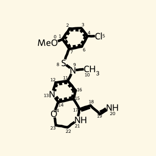 COc1ccc(Cl)cc1SN(C)c1cnc2c(c1)/C(=C/C=N)NCCO2